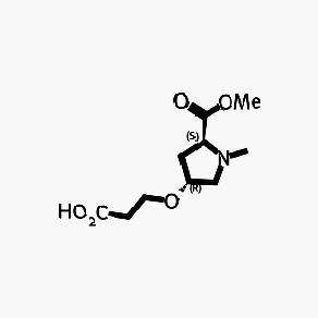 COC(=O)[C@@H]1C[C@@H](OCCC(=O)O)CN1C